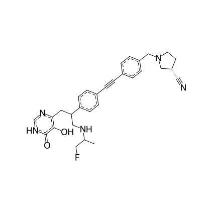 CC(CF)NCC(Cc1nc[nH]c(=O)c1O)c1ccc(C#Cc2ccc(CN3CC[C@H](C#N)C3)cc2)cc1